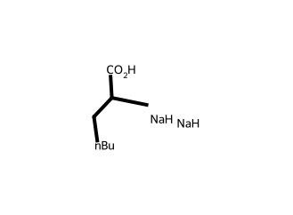 CCCCCC(C)C(=O)O.[NaH].[NaH]